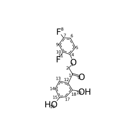 O=C(COc1ccc(F)cc1F)c1ccc(O)cc1O